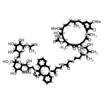 COc1cc2cc(c1Cl)N(C)C(=O)CC(OC(O)C(C)N(C)C(=O)CCSCC(=O)NCCC(=O)N1Cc3ccccc3-c3c(nnn3CC(O)[C@H](O)C3OC(OCC4OC(OC(C)C(C)C)C(O)C(O)C4O)(C(=O)O)CC(O)C3NC(C)=O)-c3ccccc31)C1(C)OC1C(C)C1CC(O)(NC(=O)O1)C(OC)/C=C/C=C(\C)C2